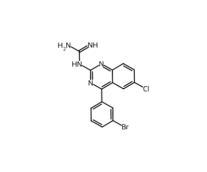 N=C(N)Nc1nc(-c2cccc(Br)c2)c2cc(Cl)ccc2n1